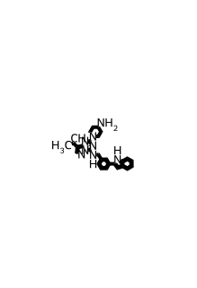 CC(C)c1cnn2c(NCc3cccc(-c4cc5ccccc5[nH]4)c3)nc(N3CCC(N)CC3)nc12